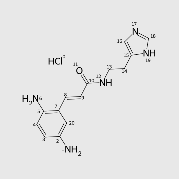 Cl.Nc1ccc(N)c(C=CC(=O)NCCc2cnc[nH]2)c1